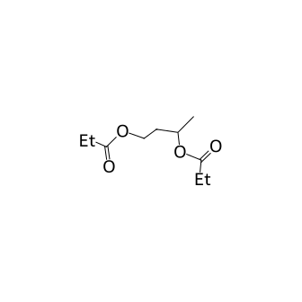 CCC(=O)OCCC(C)OC(=O)CC